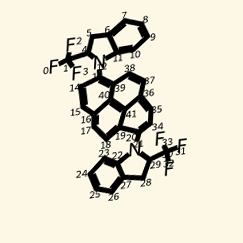 FC(F)(F)C1Cc2ccccc2N1c1ccc2ccc3c(N4c5ccccc5CC4C(F)(F)F)ccc4ccc1c2c43